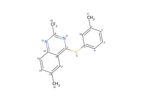 Cc1cccc(Sc2nc(C(F)(F)F)nc3ccc(C)cc23)c1